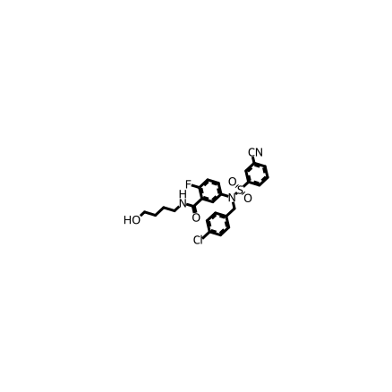 N#Cc1cccc(S(=O)(=O)N(Cc2ccc(Cl)cc2)c2ccc(F)c(C(=O)NCCCCO)c2)c1